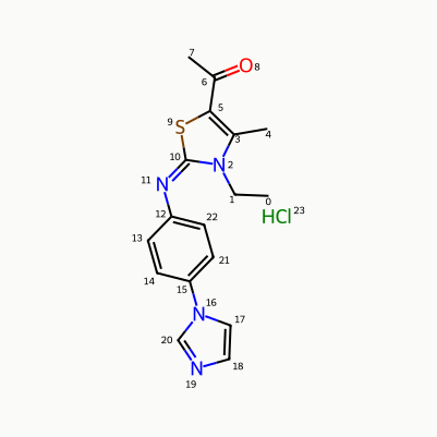 CCn1c(C)c(C(C)=O)sc1=Nc1ccc(-n2ccnc2)cc1.Cl